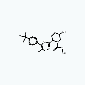 C/N=C(\OC(=C(C)C)c1ccc(C(C)(F)F)cc1)[C@H]1CCC(S)CN1C(=O)OC(C)(C)C